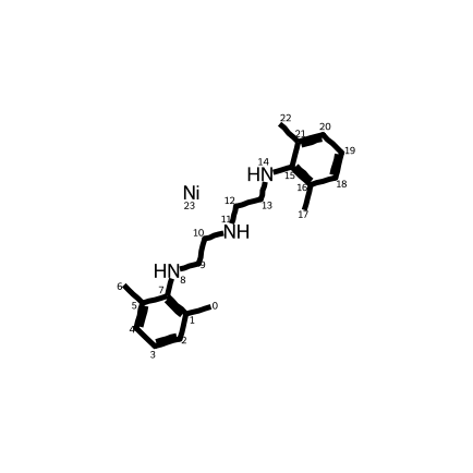 Cc1cccc(C)c1NCCNCCNc1c(C)cccc1C.[Ni]